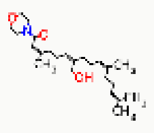 CC(C)=CCCC(C)=CCCC(=CCCC(C)=CC(=O)N1CCOCC1)CO